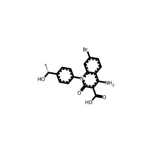 C[C@@H](O)c1ccc(-n2c(=O)c(C(=O)O)c(N)c3ccc(Br)cc32)cc1